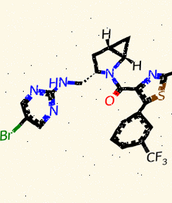 Cc1nc(C(=O)N2[C@H](CNc3ncc(Br)cn3)C[C@@H]3C[C@@H]32)c(-c2cccc(C(F)(F)F)c2)s1